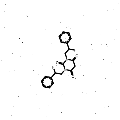 O=C1CC(=O)N(CC(F)c2ccccc2)C(=O)N1CC(F)c1ccccc1